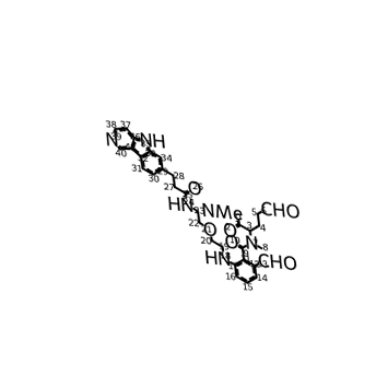 CNC(=O)C(CCC=O)N(C)C(=O)c1c(C=O)cccc1NCCOCCNC(=O)CCc1ccc2c(c1)[nH]c1ccncc12